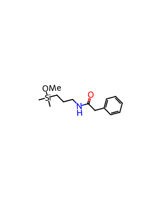 CO[Si](C)(C)CCCNC(=O)Cc1ccccc1